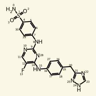 NS(=O)(=O)c1ccc(Nc2ncc(F)c(Nc3ccc(Cc4nc[nH]n4)cc3)n2)cc1